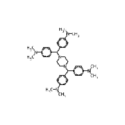 CN(C)c1ccc(C(c2ccc(N(C)C)cc2)N2CCN(C(c3ccc(N(C)C)cc3)c3ccc(N(C)C)cc3)CC2)cc1